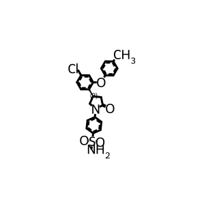 Cc1ccc(Oc2cc(Cl)ccc2[C@H]2CC(=O)N(c3ccc(S(N)(=O)=O)cc3)C2)cc1